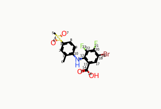 Cc1cc(S(C)(=O)=O)ccc1Nc1c(C(=O)O)cc(Br)c(F)c1F